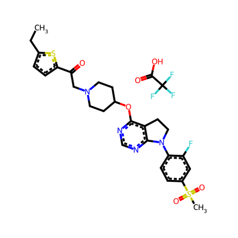 CCc1ccc(C(=O)CN2CCC(Oc3ncnc4c3CCN4c3ccc(S(C)(=O)=O)cc3F)CC2)s1.O=C(O)C(F)(F)F